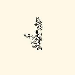 CCCSc1nc(N[C@H]2C[C@@H]2c2cccc(NC(C)=O)c2)c2nnn(C3C[C@H](CO)[C@@H](O)C3O)c2n1